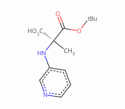 CC(C)(C)OC(=O)[C@@](C)(Nc1cccnc1)C(=O)O